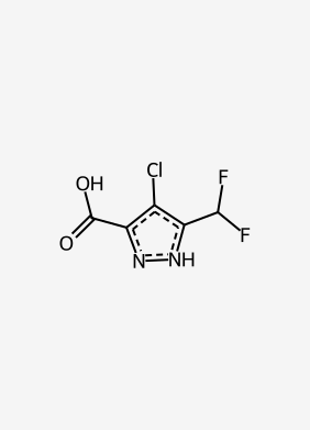 O=C(O)c1n[nH]c(C(F)F)c1Cl